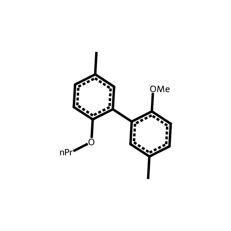 CCCOc1ccc(C)cc1-c1cc(C)ccc1OC